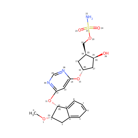 CO[C@H]1Cc2ccccc2[C@H]1Oc1cc(O[C@@H]2C[C@@H](COS(N)(=O)=O)[C@@H](O)C2)ncn1